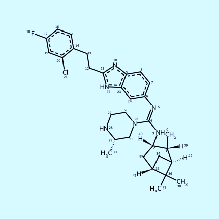 C[C@H]1[C@@H](NC(=Nc2ccc3nc(CCc4ccc(F)cc4Cl)[nH]c3c2)N2CCN[C@@H](C)C2)C[C@@H]2C[C@@H]1C2(C)C